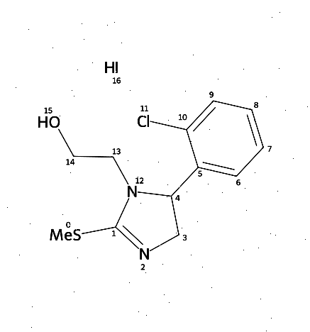 CSC1=NCC(c2ccccc2Cl)N1CCO.I